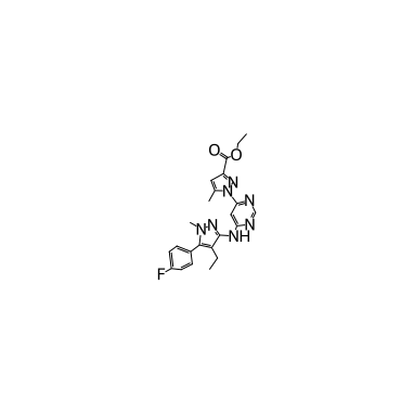 CCOC(=O)c1cc(C)n(-c2cc(Nc3nn(C)c(-c4ccc(F)cc4)c3CC)ncn2)n1